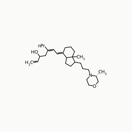 C=CC(O)C/C(=C\C=C1/CCCC2(C)C(CCCN3CCOC[C@H]3C)CCC12)CCC